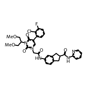 COCC(COC)n1c(=O)c(-c2cccc(F)c2Cl)cn(CC(=O)Nc2ccc3c(c2)CC(C(=O)Nc2ccccn2)C3)c1=O